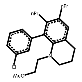 CCCc1cc2c(c(-c3cccc(Cl)c3)c1CCC)N(CCOC)CCC2